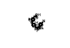 COc1cc(CC(=O)O)ccc1OC1CCN(CC(O)(c2cn(C)c3cc(C#N)ccc23)C(F)(F)F)CC1